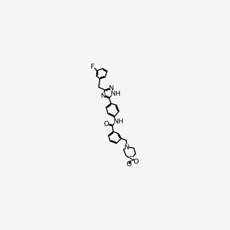 O=C(Nc1ccc(-c2nc(Cc3cccc(F)c3)n[nH]2)cc1)c1cccc(CN2CCS(=O)(=O)CC2)c1